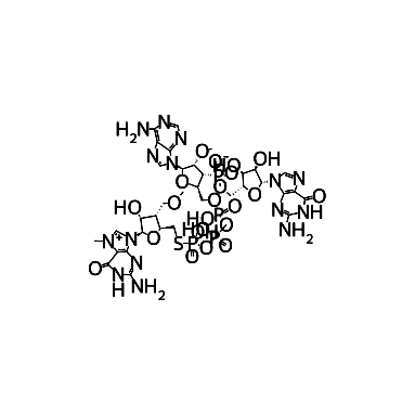 COC[C@H]1[C@@H](O)[C@H](n2c[n+](C)c3c(=O)[nH]c(N)nc32)O[C@@H]1CSP(=O)(O)OP(=O)(O)OP(=O)(O)OC[C@H]1O[C@@H](n2cnc3c(N)ncnc32)[C@H](OC)[C@@H]1P(=O)([O-])OC[C@H]1O[C@@H](n2cnc3c(=O)[nH]c(N)nc32)[C@H](O)[C@@H]1O